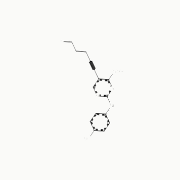 CNc1nc(Nc2ccc(C#N)cc2)ncc1C#CCCCN